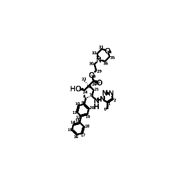 Cc1cnnn1N[C@H](Cc1ccc(-c2ccccc2)cc1)C[C@@](C)(CO)C(=O)OCCN1CCOCC1